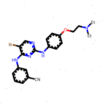 CCN(CC)CCOc1ccc(Nc2ncc(Br)c(Nc3cccc(C#N)c3)n2)cc1